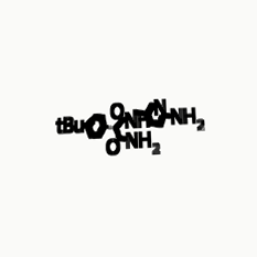 CC(C)(C)c1ccc([C@@H](C(N)=O)C(=O)NCc2ccc(N)nc2)cc1